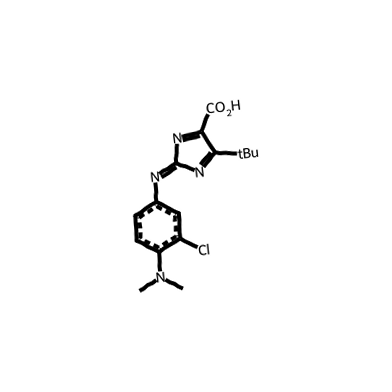 CN(C)c1ccc(N=C2N=C(C(=O)O)C(C(C)(C)C)=N2)cc1Cl